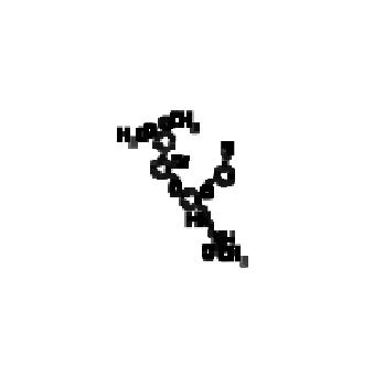 COc1ccc(-c2cccc(COc3ccc(CNCCNC(C)=O)c(OCc4cccc(C#N)c4)c3)c2Br)cc1OC